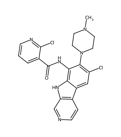 CN1CCN(c2c(Cl)cc3c([nH]c4cnccc43)c2NC(=O)c2cccnc2Cl)CC1